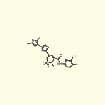 Cc1nn(C)cc1-c1csc(C2=NS(=O)(=O)N(C)C(C(=O)Nc3ccc(F)c(Cl)c3)=C2)c1